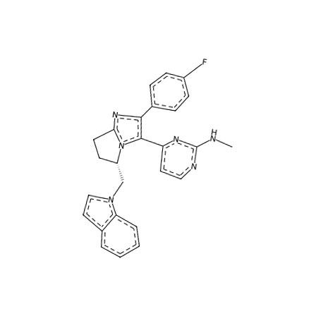 CNc1nccc(-c2c(-c3ccc(F)cc3)nc3n2[C@H](Cn2ccc4ccccc42)CC3)n1